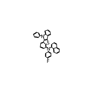 Fc1ccc(N(c2cccc3ccccc23)c2cccc3c2sc2c4ccccc4n(-c4ccccc4)c32)cc1